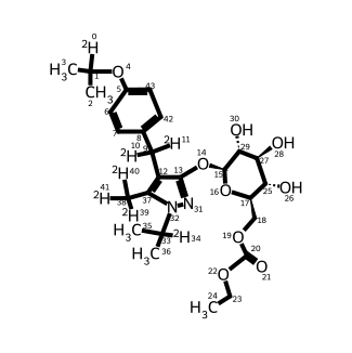 [2H]C(C)(C)Oc1ccc(C([2H])([2H])c2c(O[C@@H]3O[C@H](COC(=O)OCC)[C@@H](O)[C@H](O)[C@H]3O)nn(C([2H])(C)C)c2C([2H])([2H])[2H])cc1